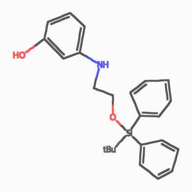 CC(C)(C)[Si](OCCNc1cccc(O)c1)(c1ccccc1)c1ccccc1